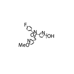 COc1ccc(Sc2oc(-c3ccc(F)cc3)nc2-c2ccc(C(C)(C)O)nc2)cn1